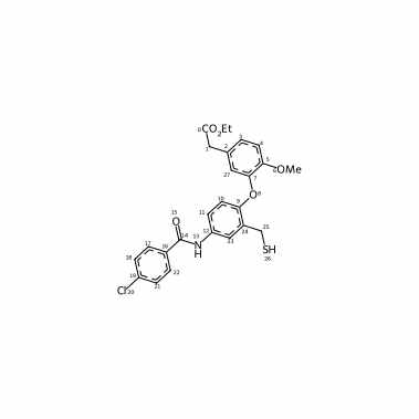 CCOC(=O)Cc1ccc(OC)c(Oc2ccc(NC(=O)c3ccc(Cl)cc3)cc2CS)c1